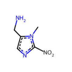 Cn1c(CN)cnc1[N+](=O)[O-]